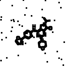 CC(C)N1Cc2c(Nc3ccc(-c4ncco4)cc3)nc(N3CCOCC3)nc2C1=O